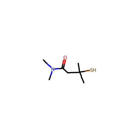 CN(C)C(=O)CC(C)(C)S